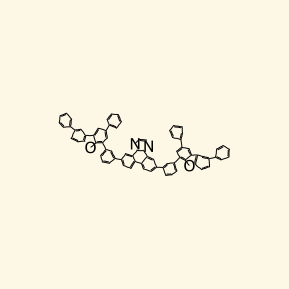 c1ccc(-c2ccc3oc4c(-c5cccc(-c6ccc7c8ccc(-c9cccc(-c%10cc(-c%11ccccc%11)cc%11c%10oc%10ccc(-c%12ccccc%12)cc%10%11)c9)cc8c8nccnc8c7c6)c5)cc(-c5ccccc5)cc4c3c2)cc1